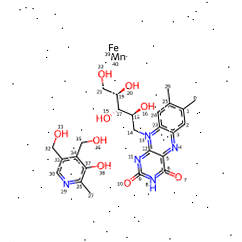 Cc1cc2nc3c(=O)[nH]c(=O)nc-3n(C[C@H](O)[C@H](O)[C@H](O)CO)c2cc1C.Cc1ncc(CO)c(CO)c1O.[Fe].[Mn]